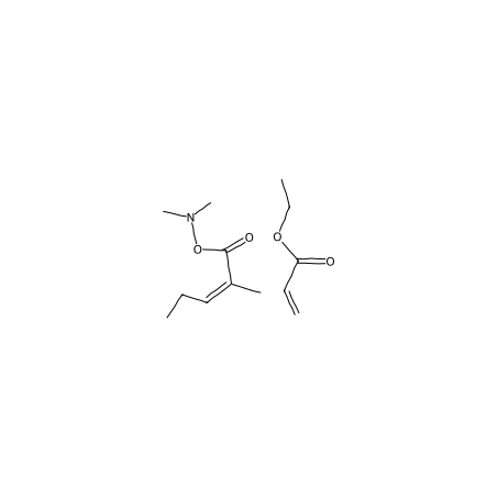 C=CC(=O)OCC.CCC=C(C)C(=O)ON(C)C